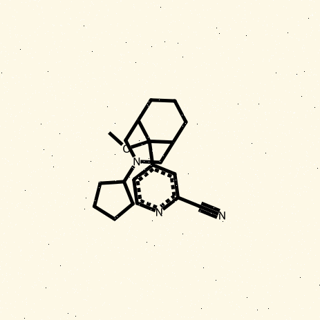 COC1(c2ccnc(C#N)c2)C2CCCC1CN(C1CCCC1)C2